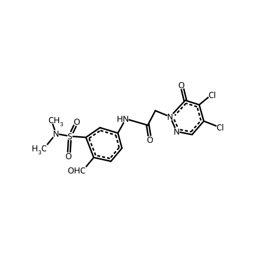 CN(C)S(=O)(=O)c1cc(NC(=O)Cn2ncc(Cl)c(Cl)c2=O)ccc1C=O